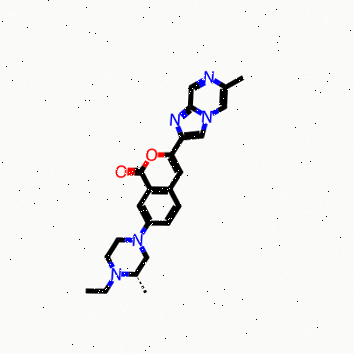 CCN1CCN(c2ccc3cc(-c4cn5cc(C)ncc5n4)oc(=O)c3c2)C[C@@H]1C